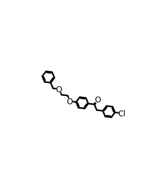 O=C(Cc1ccc(Cl)cc1)c1ccc(OCCOCc2ccccc2)cc1